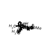 CC#CC(=O)N1CCCC[C@@H]1c1cc(N2CC(CS(C)(=O)=O)C2)c2cnc(Nc3ccnc(N4CC[C@@H](OC)[C@@H](F)C4)n3)cc2c1C(C)C